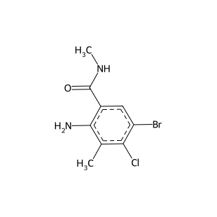 CNC(=O)c1cc(Br)c(Cl)c(C)c1N